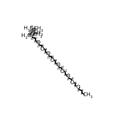 CCCCOCCOCCOCCOCCOCCOCCOCCOCCOCCC[Si](C)(C)O[Si](C)(C)C